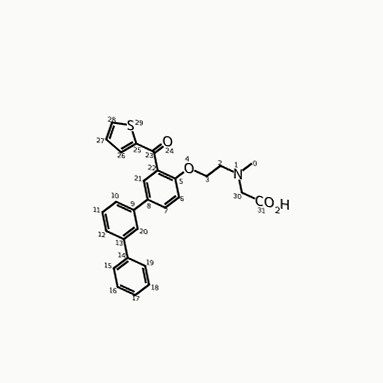 CN(CCOc1ccc(-c2cccc(-c3ccccc3)c2)cc1C(=O)c1cccs1)CC(=O)O